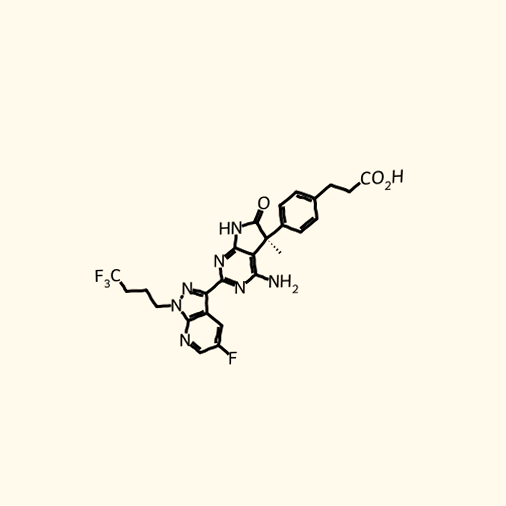 C[C@@]1(c2ccc(CCC(=O)O)cc2)C(=O)Nc2nc(-c3nn(CCCC(F)(F)F)c4ncc(F)cc34)nc(N)c21